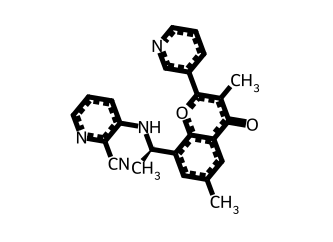 Cc1cc([C@@H](C)Nc2cccnc2C#N)c2oc(-c3cccnc3)c(C)c(=O)c2c1